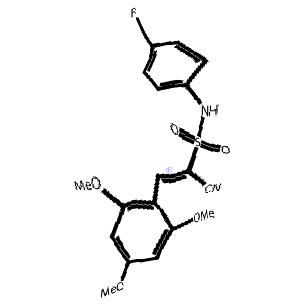 COc1cc(OC)c(/C=C(\C#N)S(=O)(=O)Nc2ccc(F)cc2)c(OC)c1